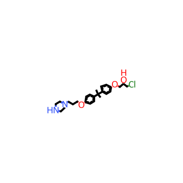 CC(C)(c1ccc(OCCCN2CCNCC2)cc1)c1ccc(OCC(O)CCl)cc1